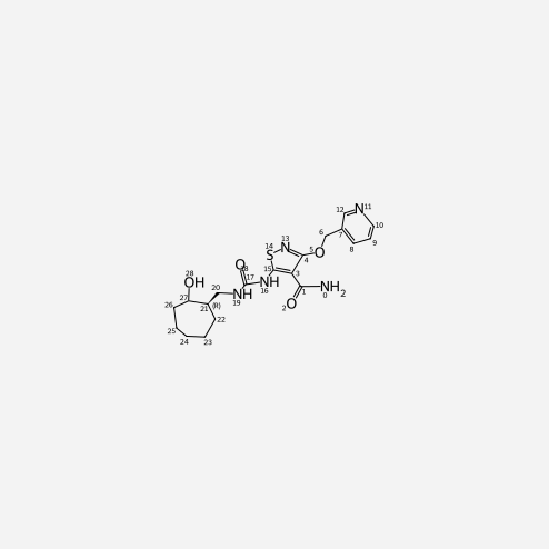 NC(=O)c1c(OCc2cccnc2)nsc1NC(=O)NC[C@H]1CCCCCC1O